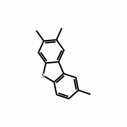 Cc1ccc2sc3cc(C)c(C)cc3c2c1